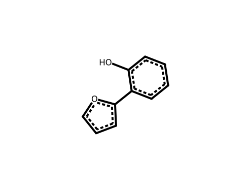 Oc1ccccc1-c1ccco1